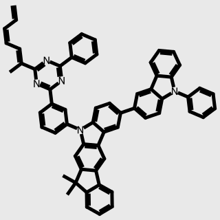 C=C/C=C\C=C(/C)c1nc(-c2ccccc2)nc(-c2cccc(-n3c4ccc(-c5ccc6c(c5)c5ccccc5n6-c5ccccc5)cc4c4cc5c(cc43)C(C)(C)c3ccccc3-5)c2)n1